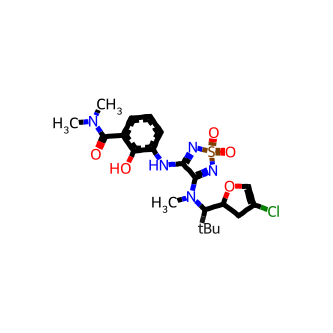 CN(C)C(=O)c1cccc(NC2=NS(=O)(=O)N=C2N(C)C(C2CC(Cl)=CO2)C(C)(C)C)c1O